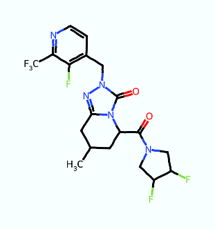 CC1Cc2nn(Cc3ccnc(C(F)(F)F)c3F)c(=O)n2C(C(=O)N2CC(F)C(F)C2)C1